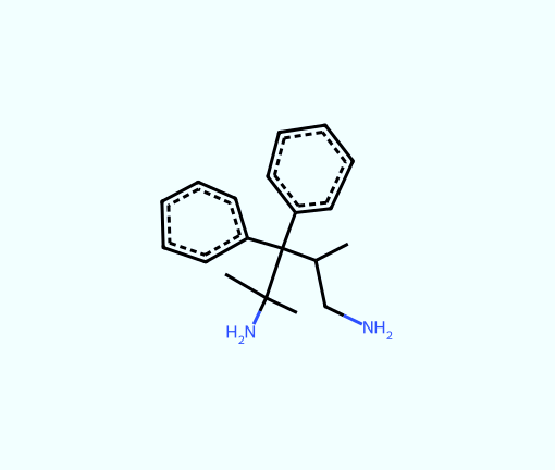 CC(CN)C(c1ccccc1)(c1ccccc1)C(C)(C)N